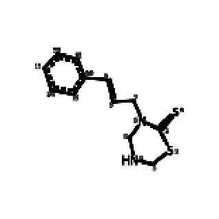 S=C1SCNCN1CC=Cc1ccccc1